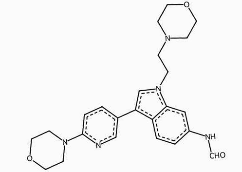 O=CNc1ccc2c(-c3ccc(N4CCOCC4)nc3)cn(CCN3CCOCC3)c2c1